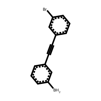 Bc1cccc(C#Cc2cccc(Br)c2)c1